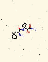 CC1(C[C@H](N)C(=O)NC2(C(O)C(N)=O)CCC2)CCCC1